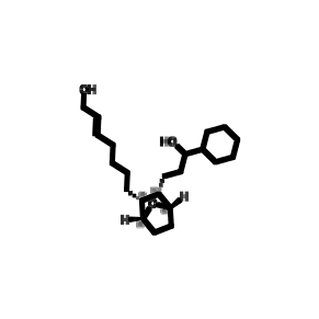 OCC=CCCCC[C@@H]1[C@H](CCC(O)C2CCCCC2)[C@@H]2CC[C@H]1O2